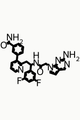 NC(=O)c1cccc(-c2cccnc2CC(NC(=O)Cn2ccc3cnc(N)nc32)c2cc(F)cc(F)c2)c1